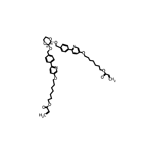 C=CC(=O)OCCCCCCCOc1ccc(-c2ccc(CO[C@H]3OCCO[C@@H]3OCc3ccc(-c4ccc(OCCCCCCCOC(=O)C=C)cn4)cc3)cc2)nc1